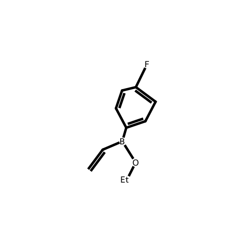 C=CB(OCC)c1ccc(F)cc1